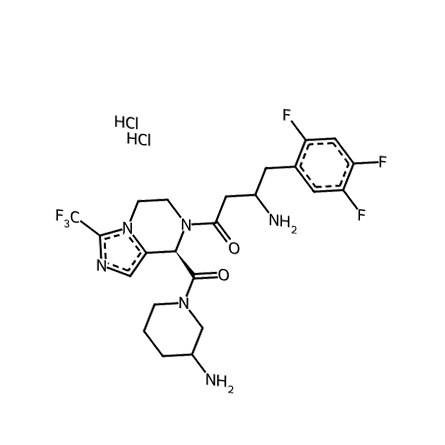 Cl.Cl.NC(CC(=O)N1CCn2c(cnc2C(F)(F)F)[C@@H]1C(=O)N1CCCC(N)C1)Cc1cc(F)c(F)cc1F